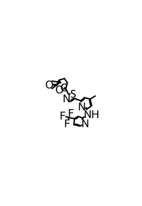 Cc1cc(Nc2cc(C(F)(F)F)ccn2)nc(-c2cnc(C34CCC(C(=O)O3)C(C)(C)C4)s2)c1